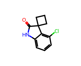 O=C1Nc2cccc(Cl)c2C12CCC2